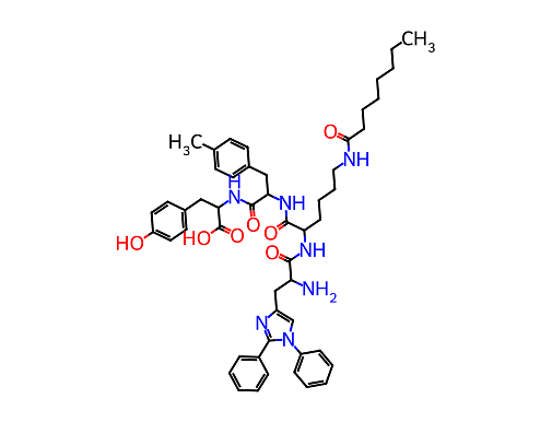 CCCCCCCC(=O)NCCCCC(NC(=O)C(N)Cc1cn(-c2ccccc2)c(-c2ccccc2)n1)C(=O)NC(Cc1ccc(C)cc1)C(=O)NC(Cc1ccc(O)cc1)C(=O)O